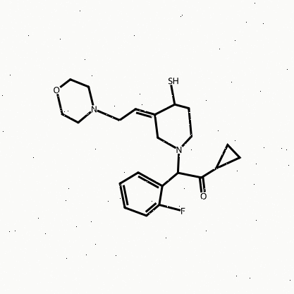 O=C(C1CC1)C(c1ccccc1F)N1CCC(S)/C(=C/CN2CCOCC2)C1